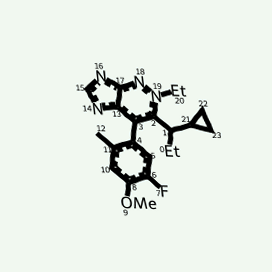 CCC(c1c(-c2cc(F)c(OC)cc2C)c2ncnc-2nn1CC)C1CC1